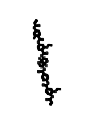 C=CC(=O)Oc1ccc(C(=O)Oc2ccc(C(=O)O[C@@H]3CO[C@H]4[C@@H]3OC[C@H]4OC(=O)c3ccc(OC(=O)c4ccc(OC(=O)C=C)c(OCC)c4)cc3)c(OCC)c2)c(C)c1